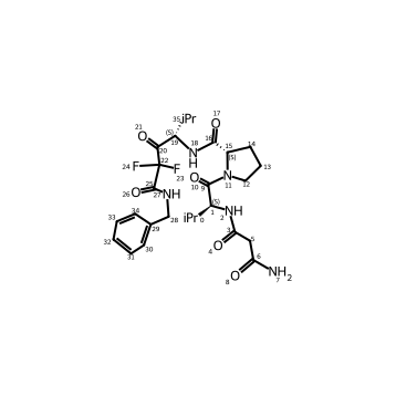 CC(C)[C@H](NC(=O)CC(N)=O)C(=O)N1CCC[C@H]1C(=O)N[C@H](C(=O)C(F)(F)C(=O)NCc1ccccc1)C(C)C